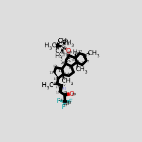 C[C@@H]1CC[C@]2(C)C3CC[C@@]4(C)C(CC[C@@H]4[C@H](C)/C=C/C(=O)C(F)(F)F)C3C[C@H](O[Si](C)(C)C(C)(C)C)[C@@H]2C1